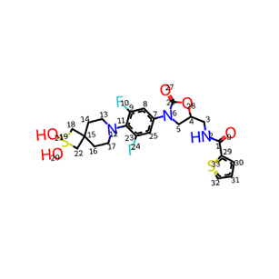 O=C(NCC1CN(c2cc(F)c(N3CCC4(CC3)CS(O)(O)C4)c(F)c2)C(=O)O1)c1cccs1